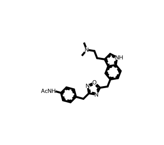 CC(=O)Nc1ccc(Cc2noc(Cc3ccc4[nH]cc(CCN(C)C)c4c3)n2)cc1